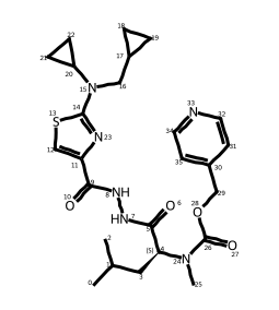 CC(C)C[C@@H](C(=O)NNC(=O)c1csc(N(CC2CC2)C2CC2)n1)N(C)C(=O)OCc1ccncc1